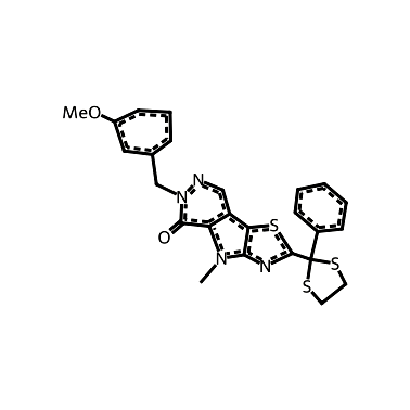 COc1cccc(Cn2ncc3c4sc(C5(c6ccccc6)SCCS5)nc4n(C)c3c2=O)c1